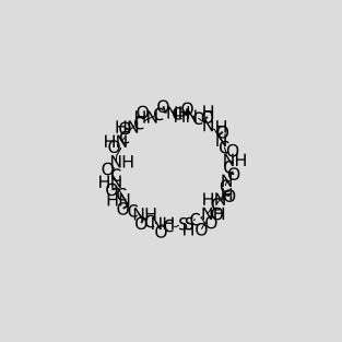 O=C1CCSSCC(C(=O)O)NC(=O)CNC(=O)CNC(=O)CNC(=O)CNC(=O)CNC(=O)CNC(=O)CNC(=O)CNC(=O)CNC(=O)CNC(=O)CNC(=O)CNC(=O)CNC(=O)CNC(=O)CN1